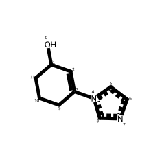 OC1C=C(n2ccnc2)CCC1